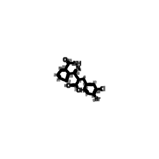 O=C(O)C(Cc1ccc(Br)c(Cl)c1)c1n[nH]c(=O)c2ccccc12